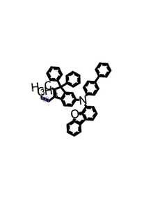 C/C=C\C1=C(C)C(c2ccccc2)(c2ccccc2)c2cc(N(c3ccc(-c4ccccc4)cc3)c3cccc4c3oc3ccccc34)ccc21